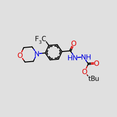 CC(C)(C)OC(=O)NNC(=O)c1ccc(N2CCOCC2)c(C(F)(F)F)c1